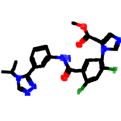 COC(=O)c1cncn1-c1cc(C(=O)Nc2cccc(-c3nncn3C(C)C)c2)c(F)cc1F